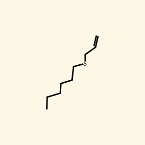 C=CCSCCCCCC